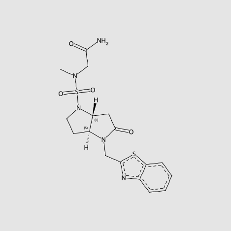 CN(CC(N)=O)S(=O)(=O)N1CC[C@H]2[C@H]1CC(=O)N2Cc1nc2ccccc2s1